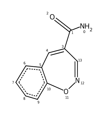 NC(=O)C1=Cc2ccccc2ON=C1